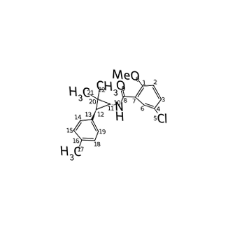 COc1ccc(Cl)cc1C(=O)N[C@@H]1[C@@H](c2ccc(C)cc2)C1(C)C